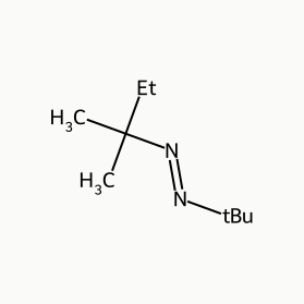 CCC(C)(C)/N=N/C(C)(C)C